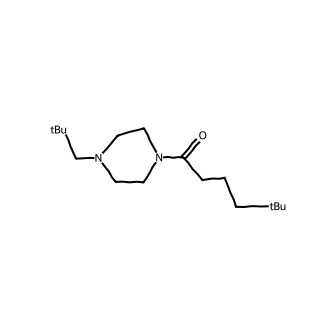 CC(C)(C)CCCC(=O)N1CCN(CC(C)(C)C)CC1